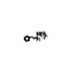 C1=NCCN1.NOC(=O)CCc1ccccc1